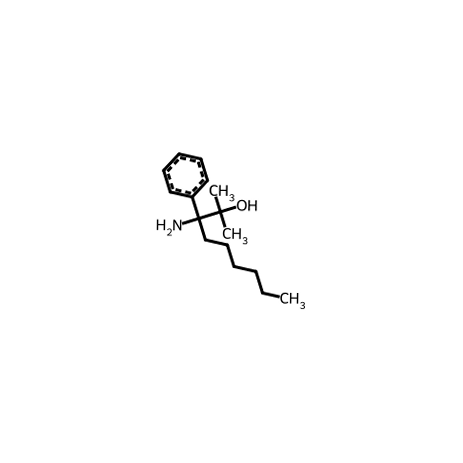 CCCCCCC(N)(c1ccccc1)C(C)(C)O